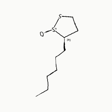 CCCCCC[C@@H]1CCS[S+]1[O-]